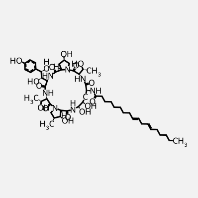 CCCCC/C=C/C/C=C/CCCCCCCC(=O)N[C@H]1C[C@@H](O)[C@@H](O)NC(=O)[C@@H]2[C@@H](O)[C@@H](C)CN2C(=O)[C@H]([C@@H](C)O)NC(=O)[C@H]([C@H](O)[C@@H](O)c2ccc(O)cc2)NC(=O)[C@@H]2C[C@@H](O)CN2C(=O)[C@H]([C@@H](C)O)NC1=O